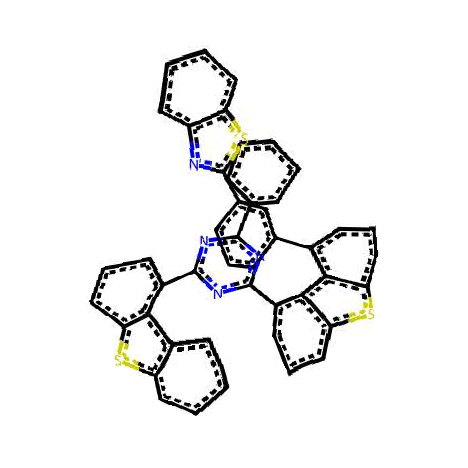 c1ccc(-c2nc(-c3cccc4sc5ccccc5c34)nc(-c3cccc4sc5cccc(-c6cccc(-c7nc8ccccc8s7)c6)c5c34)n2)cc1